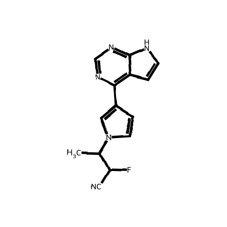 CC(C(F)C#N)n1ccc(-c2ncnc3[nH]ccc23)c1